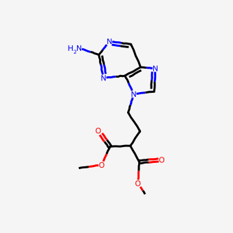 COC(=O)C(CCn1cnc2cnc(N)nc21)C(=O)OC